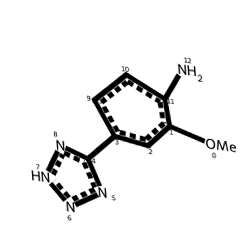 COc1cc(-c2nn[nH]n2)ccc1N